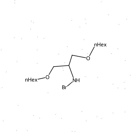 CCCCCCOCC(COCCCCCC)NBr